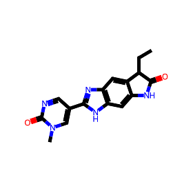 CCC1C(=O)Nc2cc3[nH]c(-c4cnc(=O)n(C)c4)nc3cc21